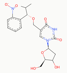 CC(C)[C@H](OCc1cn([C@H]2CC(O)[C@@H](CO)O2)c(=O)[nH]c1=O)c1ccccc1[N+](=O)[O-]